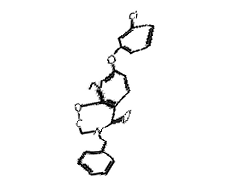 O=C1c2ccc(Oc3cccc(Cl)c3)nc2OCCN1Cc1ccccc1